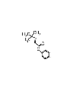 CC(C)(C)C=CC(=O)Oc1cc[c]cc1